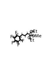 CCO[Si](CCCc1c(F)c(F)c(F)c(F)c1F)(OC)OCC